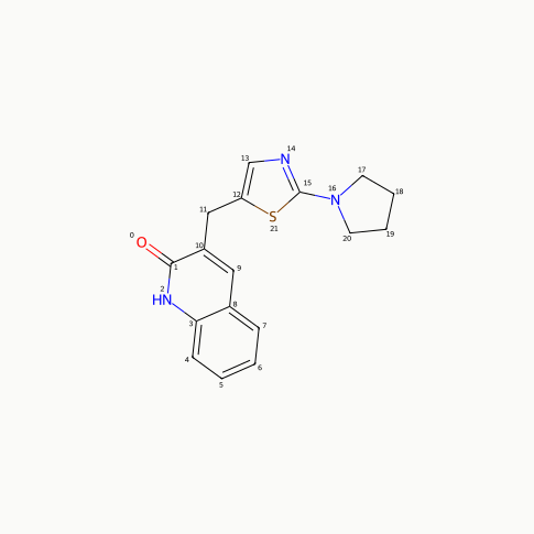 O=c1[nH]c2ccccc2cc1Cc1cnc(N2CCCC2)s1